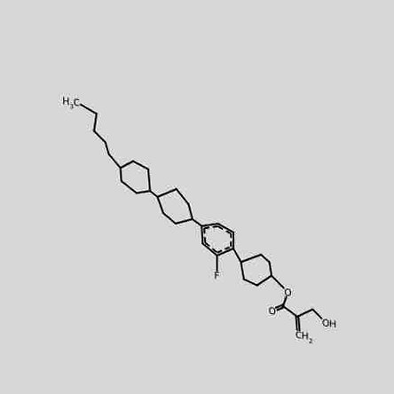 C=C(CO)C(=O)OC1CCC(c2ccc(C3CCC(C4CCC(CCCCC)CC4)CC3)cc2F)CC1